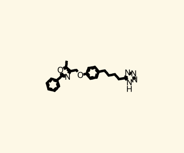 Cc1oc(-c2ccccc2)nc1COc1ccc(CCCCc2nnn[nH]2)cc1